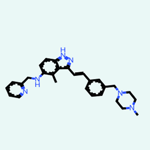 Cc1c(NCc2ccccn2)ccc2[nH]nc(/C=C/c3cccc(CN4CCN(C)CC4)c3)c12